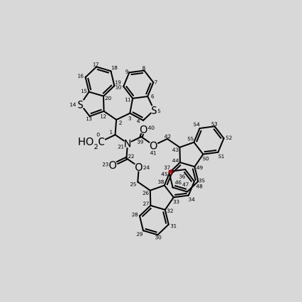 O=C(O)C(C(c1csc2ccccc12)c1csc2ccccc12)N(C(=O)OCC1c2ccccc2-c2ccccc21)C(=O)OCC1c2ccccc2-c2ccccc21